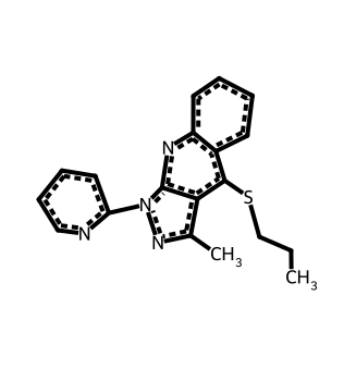 CCCSc1c2ccccc2nc2c1c(C)nn2-c1ccccn1